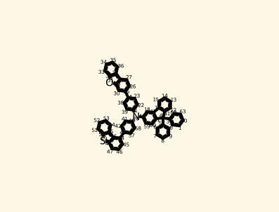 c1ccc(C2(c3ccccc3)c3ccccc3-c3cc(N(c4ccc(-c5ccc6c(c5)oc5ccccc56)cc4)c4ccc(-c5cccc6sc7ccccc7c56)cc4)ccc32)cc1